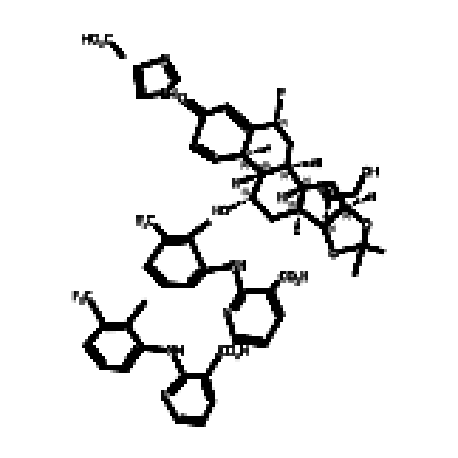 CC(=O)O.CC1(C)O[C@@H]2C[C@H]3[C@@H]4C[C@H](F)C5=CC(=O)C=C[C@]5(C)[C@H]4[C@@H](O)C[C@]3(C)[C@]2(C(=O)CO)O1.Cc1c(Nc2ncccc2C(=O)O)cccc1C(F)(F)F.Cc1c(Nc2ncccc2C(=O)O)cccc1C(F)(F)F.c1c[nH]cn1